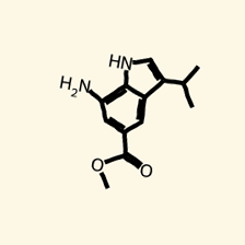 COC(=O)c1cc(N)c2[nH]cc(C(C)C)c2c1